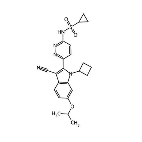 CC(C)Oc1ccc2c(C#N)c(-c3ccc(NS(=O)(=O)C4CC4)nn3)n(C3CCC3)c2c1